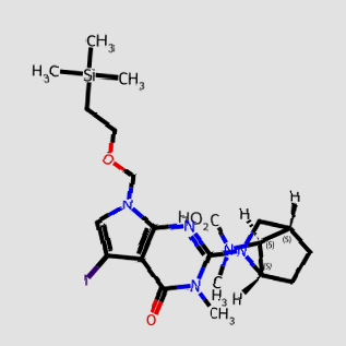 CN(C(=O)O)[C@H]1[C@H]2CC[C@@H]1N(c1nc3c(c(I)cn3COCC[Si](C)(C)C)c(=O)n1C)C2